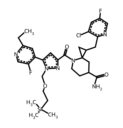 CCc1cc(-c2cc(C(=O)N3CCC(C(N)=O)CC34CC4Cc3ncc(F)cc3Cl)nn2COCC[Si](C)(C)C)c(F)cn1